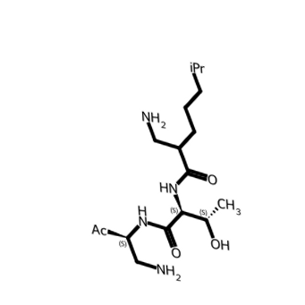 CC(=O)[C@H](CN)NC(=O)[C@@H](NC(=O)C(CN)CCCC(C)C)[C@H](C)O